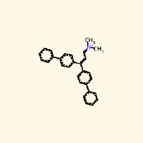 C[N+](C)=CC=C(c1ccc(-c2ccccc2)cc1)c1ccc(-c2ccccc2)cc1